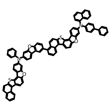 c1ccc(-c2ccc(N(c3ccc4c(c3)oc3ccc5c(sc6ccc7c(-c8ccc9oc%10cc(N(c%11ccccc%11)c%11ccc%12c(c%11)oc%11ccc%13c(sc%14ccc%15ccccc%15c%14%13)c%11%12)ccc%10c9c8)cccc7c65)c34)c3cccc4ccccc34)cc2)cc1